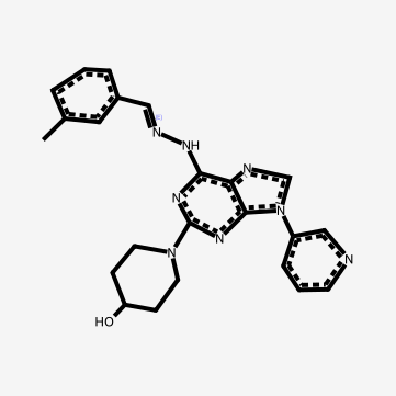 Cc1cccc(/C=N/Nc2nc(N3CCC(O)CC3)nc3c2ncn3-c2cccnc2)c1